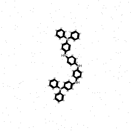 C1=CC(Nc2ccc(N(c3ccccc3)c3ccccc3)cc2)CC=C1Nc1ccc(Nc2ccc(N(c3ccccc3)c3ccccc3)cc2)cc1